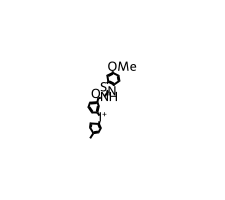 COc1ccc2nc(NC(=O)c3cccc([I+]c4ccc(C)cc4)c3)sc2c1